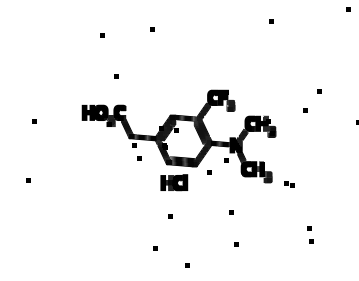 CN(C)c1ccc(CC(=O)O)cc1C(F)(F)F.Cl